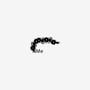 C#Cc1ccc(NC(=O)c2ccc(OC(=O)c3ccc4ccc(C(=O)Oc5cccc(NC)c5)cc4c3)cc2)cc1